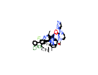 Cc1nc2c(F)c(-c3cccc(Cl)c3Cl)c(CCC#N)cc2c2c1cc([C@@H](C)N1CCCN(c3ccncn3)C1=O)n2[C@H]1[C@H]2CN[C@@H]1C2